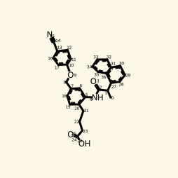 CC(C(=O)Nc1cc(COc2ccc(C#N)cc2)ccc1CCCC(=O)O)c1cccc2ccccc12